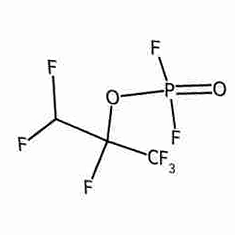 O=P(F)(F)OC(F)(C(F)F)C(F)(F)F